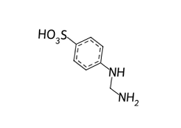 NCNc1ccc(S(=O)(=O)O)cc1